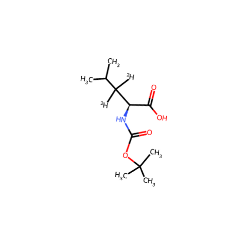 [2H]C([2H])(C(C)C)[C@H](NC(=O)OC(C)(C)C)C(=O)O